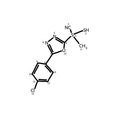 CS(S)(C#N)c1nnc(-c2ccc(Cl)cc2)o1